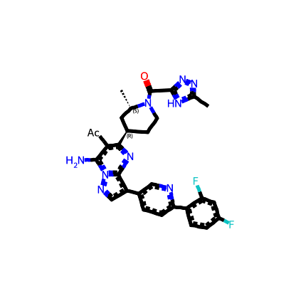 CC(=O)c1c([C@@H]2CCN(C(=O)c3nnc(C)[nH]3)[C@@H](C)C2)nc2c(-c3ccc(-c4ccc(F)cc4F)nc3)cnn2c1N